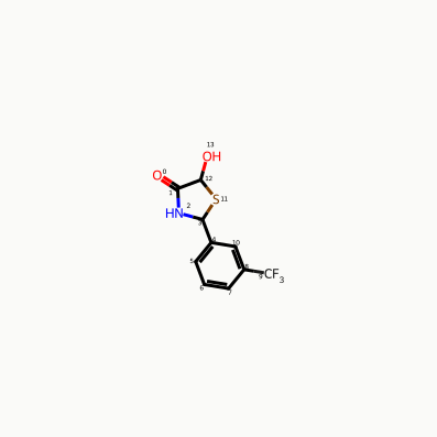 O=C1NC(c2cccc(C(F)(F)F)c2)SC1O